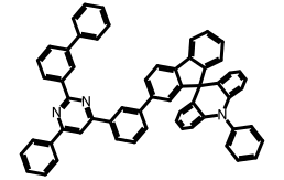 c1ccc(-c2cccc(-c3nc(-c4ccccc4)cc(-c4cccc(-c5ccc6c(c5)C5(c7ccccc7-6)c6ccccc6N(c6ccccc6)c6ccccc65)c4)n3)c2)cc1